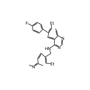 C/C=c1/ncnc(NCC(/C=C\C(C)=N/C)=C\CC)/c1=C/C(=C/CC)c1ccc(F)cc1